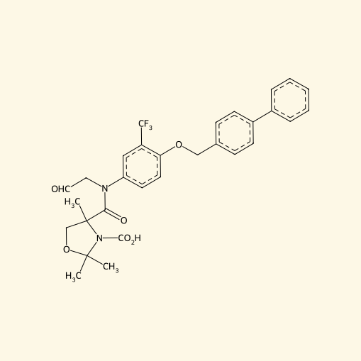 CC1(C)OCC(C)(C(=O)N(CC=O)c2ccc(OCc3ccc(-c4ccccc4)cc3)c(C(F)(F)F)c2)N1C(=O)O